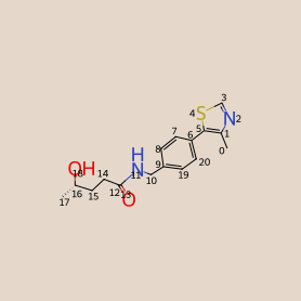 Cc1ncsc1-c1ccc(CNC(=O)CC[C@H](C)O)cc1